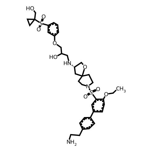 CCOc1ccc(-c2ccc(CCN)cc2)cc1S(=O)(=O)N1CCC2(CC1)C[C@H](NCC(O)COc1cccc(S(=O)(=O)C3(CO)CC3)c1)CO2